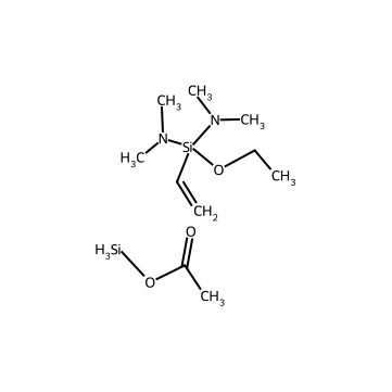 C=C[Si](OCC)(N(C)C)N(C)C.CC(=O)O[SiH3]